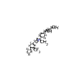 C/C(=N\OCc1ccc(C2CCCC2)c(C(F)(F)F)c1)c1ccc(CNCCCO)cc1